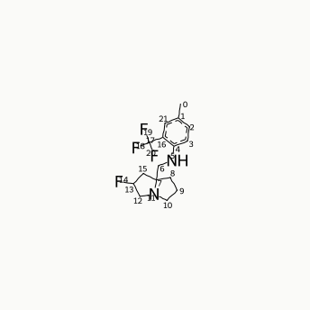 Cc1ccc(NCC23CCCN2CC(F)C3)c(C(F)(F)F)c1